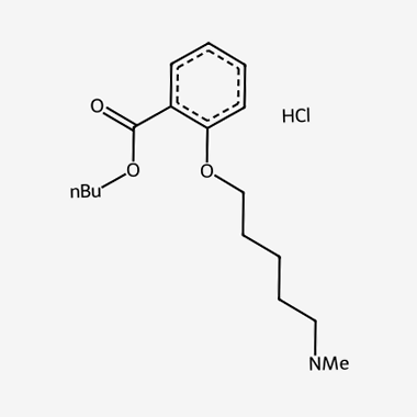 CCCCOC(=O)c1ccccc1OCCCCCNC.Cl